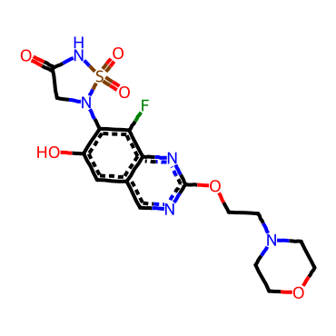 O=C1CN(c2c(O)cc3cnc(OCCN4CCOCC4)nc3c2F)S(=O)(=O)N1